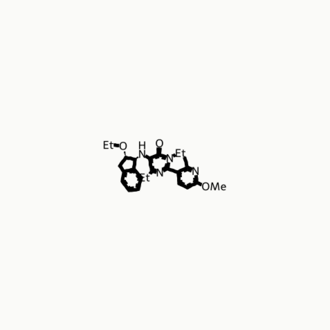 CCO[C@H]1Cc2ccccc2[C@H]1Nc1c(CC)nc(-c2ccc(OC)nc2C)n(CC)c1=O